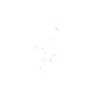 COc1cc2c(Nc3ccc(Cl)cc3F)ncnc2cc1OCCOCCN1CCCC1